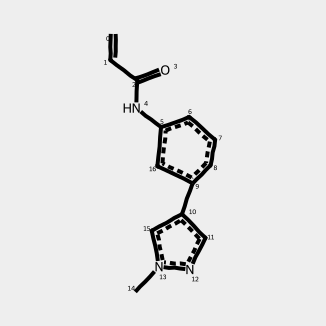 C=CC(=O)Nc1[c]ccc(-c2cnn(C)c2)c1